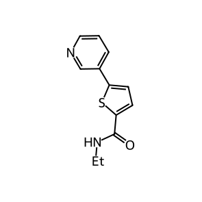 CCNC(=O)c1ccc(-c2cccnc2)s1